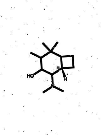 CC1C(O)C(N(C)C)[C@H]2CCC2C1(C)C